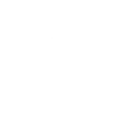 ClC1CCCCO1.ClCCl